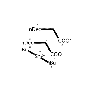 CCCCCCCCCCCC(=O)[O-].CCCCCCCCCCCC(=O)[O-].CC[CH](C)[Sn+2][CH](C)CC